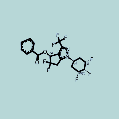 O=C(O[C@H]1c2c(C(F)(F)F)nn([C@@H]3C[C@@H](F)[C@@H](F)[C@@H](F)C3)c2CC1(F)F)c1ccccc1